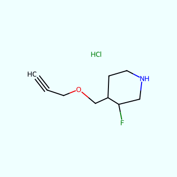 C#CCOCC1CCNCC1F.Cl